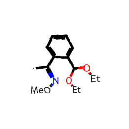 [CH2]C(=NOC)c1ccccc1C(OCC)OCC